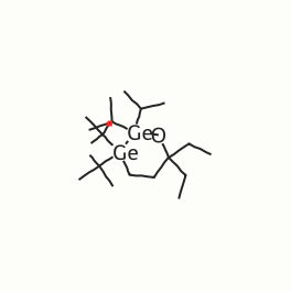 CCC1(CC)C[CH2][Ge]([C](C)(C)C)([C](C)(C)C)[Ge]([CH](C)C)([CH](C)C)[O]1